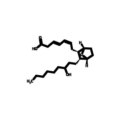 CCCCCCC(O)CC[C@@H]1[C@H](C/C=C\C=CCC(=O)O)[C@@H]2CC[C@H]1O2